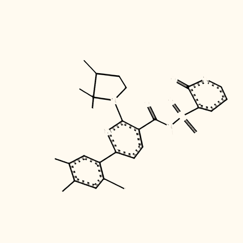 CC1CCN(c2nc(-c3cc(F)c(F)cc3F)ccc2C(=O)NS(=O)(=O)c2ccc[nH]c2=O)C1(C)C